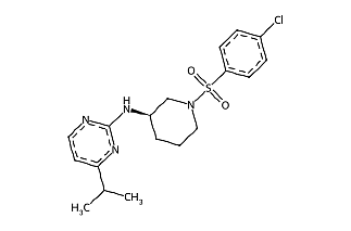 CC(C)c1ccnc(N[C@@H]2CCCN(S(=O)(=O)c3ccc(Cl)cc3)C2)n1